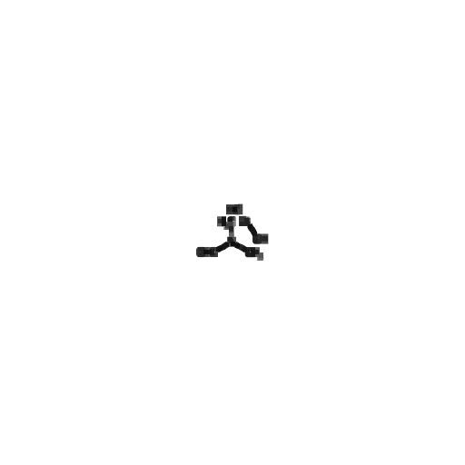 CCO.CN(C)C=O.Cl